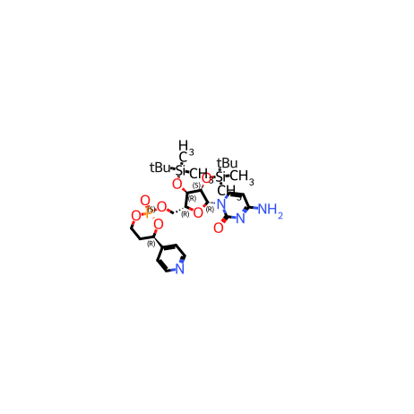 CC(C)(C)[Si](C)(C)O[C@H]1[C@H](O[Si](C)(C)C(C)(C)C)[C@@H](CO[P@]2(=O)OCC[C@H](c3ccncc3)O2)O[C@H]1n1ccc(N)nc1=O